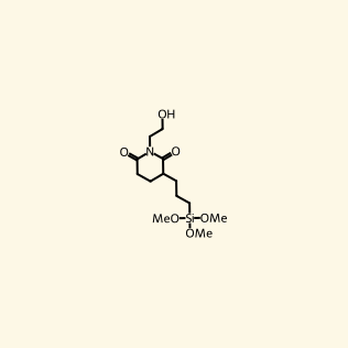 CO[Si](CCCC1CCC(=O)N(CCO)C1=O)(OC)OC